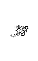 CC(C)c1cc(Nc2nc(N3CCC[C@H]3C(=O)N3CC(N)C3)nc3c2CCC3)n[nH]1